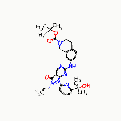 C=CCn1c(=O)c2cnc(Nc3ccc4c(c3)CN(C(=O)OC(C)(C)C)CC4)nc2n1-c1cccc(C(C)(C)O)n1